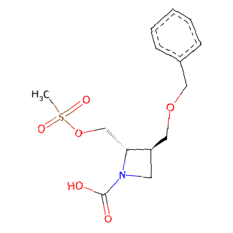 CS(=O)(=O)OC[C@@H]1[C@@H](COCc2ccccc2)CN1C(=O)O